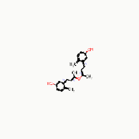 C=c1ccc(O)c/c1=C/C=C(\C)O/C(C)=C/C=c1/cc(O)ccc1=C